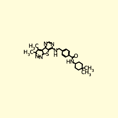 Cc1nnc2sc3c(NCc4ccc(C(=O)NC5CCC(C)(C)CC5)cc4)ncnc3c2c1C